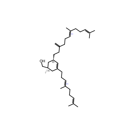 C=C(CC/C=C(\C)CCC=C(C)C)CC[C@H]1C=C(CC/C=C(\C)CCC=C(C)C)C[C@@](C)(CO)C1